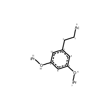 CC(=O)CCc1cc(OC(C)C)cc(OC(C)C)c1